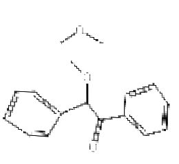 COC.COC(C(=O)c1ccccc1)c1ccccc1